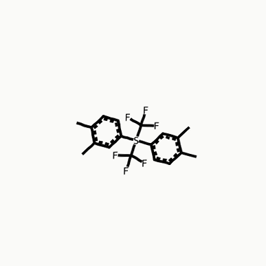 Cc1ccc(S(c2ccc(C)c(C)c2)(C(F)(F)F)C(F)(F)F)cc1C